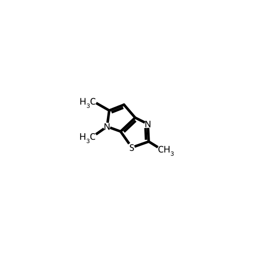 Cc1nc2cc(C)n(C)c2s1